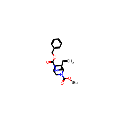 C=CC1C2CCC(CN2C(=O)OC(C)(C)C)N1C(=O)OCc1ccccc1